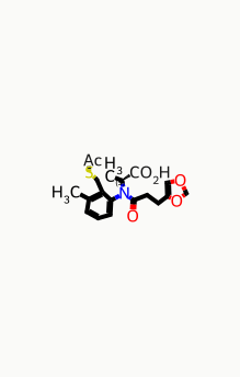 CC(=O)SCc1c(C)cccc1N(C(=O)CCC1=COCO1)[C@@H](C)C(=O)O